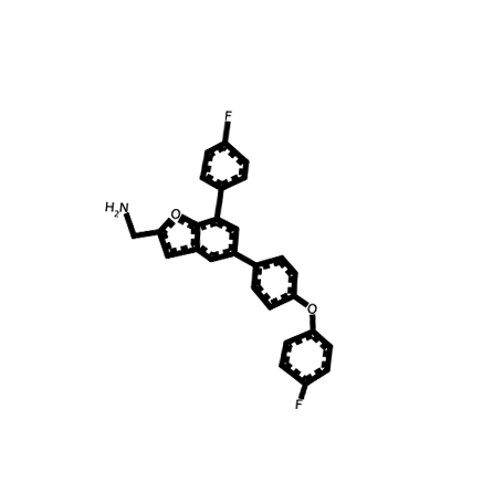 NCc1cc2cc(-c3ccc(Oc4ccc(F)cc4)cc3)cc(-c3ccc(F)cc3)c2o1